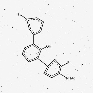 CCc1cccc(-c2cccc(-c3ccc(NC(C)=O)c(F)c3)c2O)c1